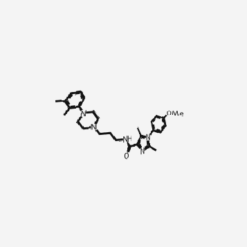 COc1ccc(-n2c(C)nc(C(=O)NCCCN3CCN(c4cccc(C)c4C)CC3)c2C)cc1